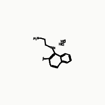 Cl.Cl.NCCNc1c(I)ccc2ccccc12